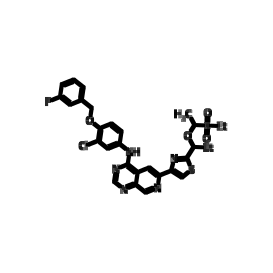 CCC(OC(C)S(=O)(=O)CC)c1nc(-c2cc3c(Nc4ccc(OCc5cccc(F)c5)c(Cl)c4)ncnc3cn2)cs1